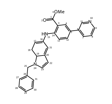 COC(=O)c1cc(-c2cccnc2)ccc1NC1=CCC2C(=C1)C=CN2Cc1ccccc1